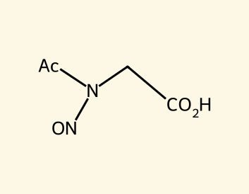 CC(=O)N(CC(=O)O)N=O